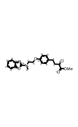 COC(=O)C(Cl)CCc1ccc(OCCN(C)c2nc3ccccc3o2)cc1